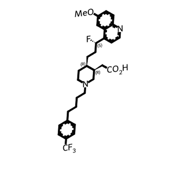 COc1ccc2nccc([C@@H](F)CC[C@@H]3CCN(CCCCc4ccc(C(F)(F)F)cc4)C[C@@H]3CC(=O)O)c2c1